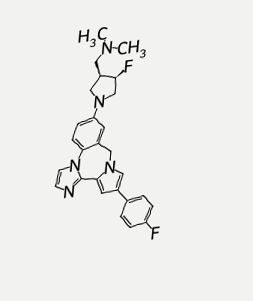 CN(C)C[C@@H]1CN(c2ccc3c(c2)Cn2cc(-c4ccc(F)cc4)cc2-c2nccn2-3)C[C@@H]1F